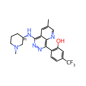 Cc1cnc2c(-c3ccc(C(F)(F)F)cc3O)nnc(N[C@@H]3CCCN(C)C3)c2c1